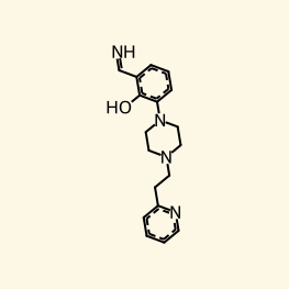 N=Cc1cccc(N2CCN(CCc3ccccn3)CC2)c1O